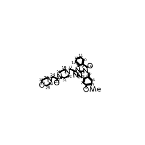 COc1ccc(Cn2c(=O)c3ccccc3n3c(CN4CCN(C(=O)CN5CCOCC5)CC4)nnc23)cc1